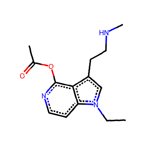 CCn1cc(CCNC)c2c(OC(C)=O)nccc21